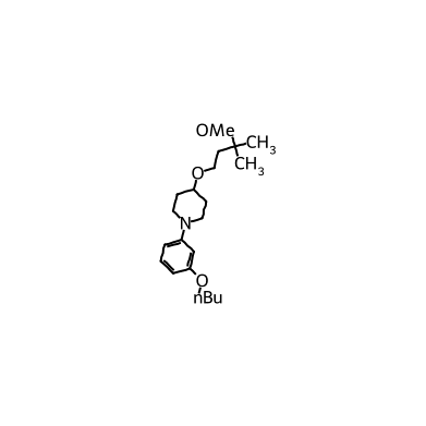 CCCCOc1cccc(N2CCC(OCCC(C)(C)OC)CC2)c1